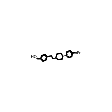 CCCc1ccc([C@H]2CC[C@H](CCc3ccc(CO)cc3)CC2)cc1